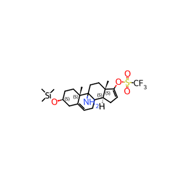 C[C@]12CC[C@H](O[Si](C)(C)C)CC1=CCC1[C@@H]3CC=C(OS(=O)(=O)C(F)(F)F)[C@@]3(C)CCC12N